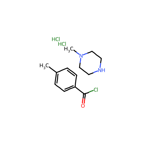 CN1CCNCC1.Cc1ccc(C(=O)Cl)cc1.Cl.Cl